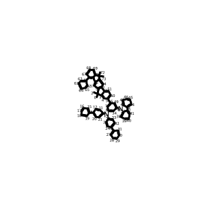 CC1(C)c2cc(-c3cc(N(c4ccc(-c5ccccc5)cc4)c4ccc(-c5ccccc5)cc4)cc(-n4c5ccccc5c5ccccc54)c3)ccc2-c2cc3c(cc21)-c1c(-c2ccccc2)cccc1C3(C)C